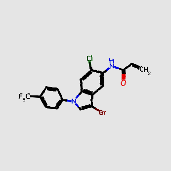 C=CC(=O)Nc1cc2c(Br)cn(-c3ccc(C(F)(F)F)cc3)c2cc1Cl